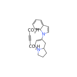 C1=C(n2ccc3ccccc32)CC2CCCN2C1.O=C(O)C#CC(=O)O